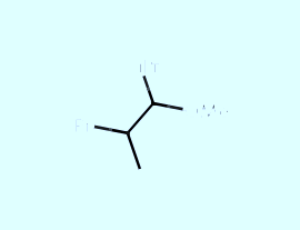 COC(C(C)C)C(C)C(C)C